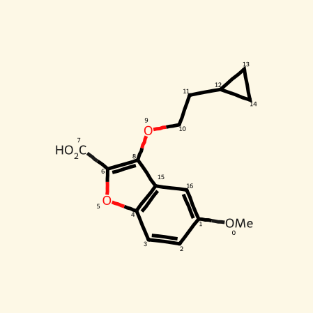 COc1ccc2oc(C(=O)O)c(OCCC3CC3)c2c1